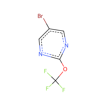 FC(F)(F)Oc1ncc(Br)cn1